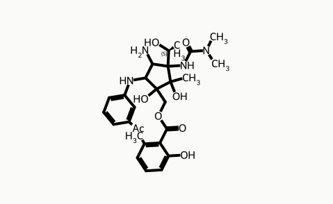 CC(=O)c1cccc(NC2C(N)C(NC(=O)N(C)C)([C@H](C)O)C(C)(O)C2(O)COC(=O)c2c(C)cccc2O)c1